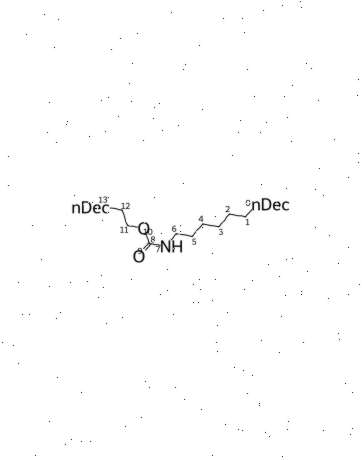 CCCCCCCCCCCCCCCCNC(=O)OCCCCCCCCCCCC